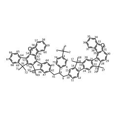 CC(C)(C)c1ccc(C(Cc2ccc3c(c2)C(C)(C)c2cc4c(cc2-3)C(C)(C)c2ccc3oc5ccccc5c3c2-4)Cc2ccc3c(c2)C(C)(C)c2c4c(c5oc6ccccc6c5c2-3)-c2ccccc2C4(C)C)cc1